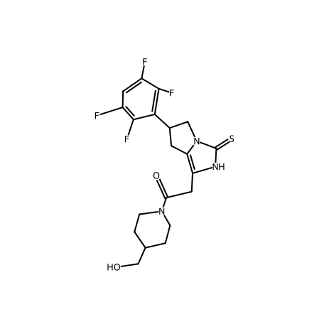 O=C(Cc1[nH]c(=S)n2c1CC(c1c(F)c(F)cc(F)c1F)C2)N1CCC(CO)CC1